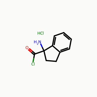 Cl.NC1(C(=O)Cl)CCc2ccccc21